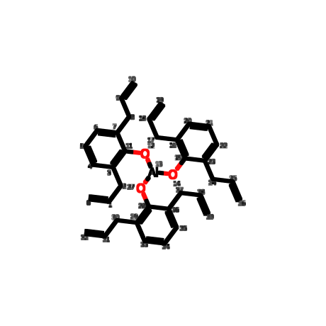 C=CCc1cccc(CC=C)c1[O][Al]([O]c1c(CC=C)cccc1CC=C)[O]c1c(CC=C)cccc1CC=C